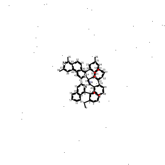 CCc1ccccc1-c1c2ccccc2cc[n+]1/C(=C1/Cc2c(C)cc(C)cc2-c2c3ccc4c(C)nc(C)cc4c3cc[n+]21)c1ccccc1-c1ccccn1